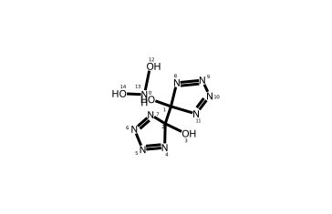 OC1(C2(O)N=NN=N2)N=NN=N1.ONO